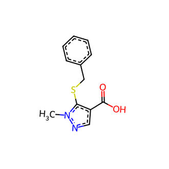 Cn1ncc(C(=O)O)c1SCc1ccccc1